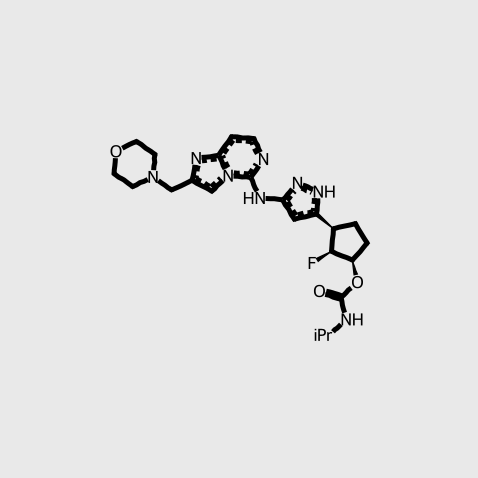 CC(C)NC(=O)O[C@@H]1CC[C@H](c2cc(Nc3nccc4nc(CN5CCOCC5)cn34)n[nH]2)[C@@H]1F